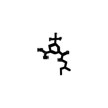 CCC(C)CNC(=O)c1cc(B(O)O)cc(C(F)(F)F)c1